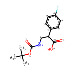 CC(C)(C)OC(=O)NCC(C(=O)O)c1ccc(F)cc1